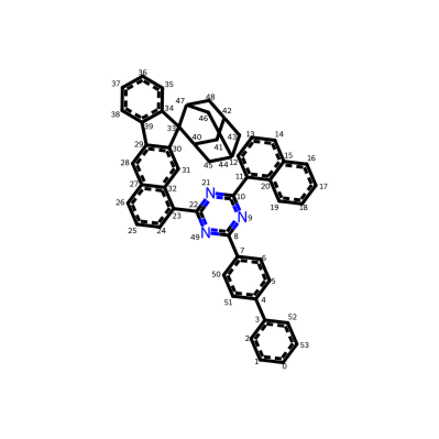 c1ccc(-c2ccc(-c3nc(-c4cccc5ccccc45)nc(-c4cccc5cc6c(cc45)C4(c5ccccc5-6)C5CC6CC(C5)CC4C6)n3)cc2)cc1